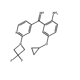 N=C(c1ccnc(N2CC(F)(F)C2)c1)c1cc(OC2CC2)ccc1N